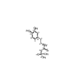 O=P(O)(O)SC(=S)NCCc1ccc(O)c(O)c1